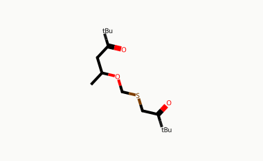 CC(CC(=O)C(C)(C)C)OCSCC(=O)C(C)(C)C